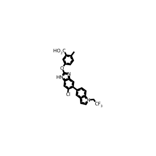 Cc1ccc(Oc2nc3cc(-c4ccc5c(ccn5CC(F)(F)F)c4)c(Cl)cc3[nH]2)cc1C(=O)O